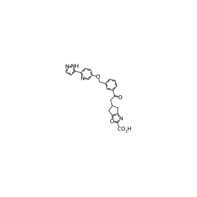 O=C(CC1Cc2nc(C(=O)O)oc2C1)c1cccc(COc2ccc(-c3ccn[nH]3)nc2)c1